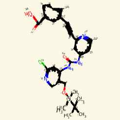 CC(C)(C)[Si](C)(C)OCc1cnc(Cl)cc1NC(=O)Nc1ccnc(C#Cc2cccc(C(=O)O)c2)c1